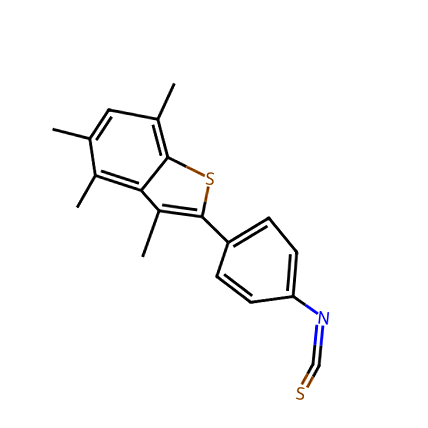 Cc1cc(C)c2sc(-c3ccc(N=C=S)cc3)c(C)c2c1C